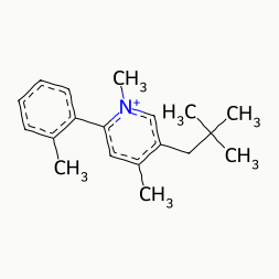 Cc1cc(-c2ccccc2C)[n+](C)cc1CC(C)(C)C